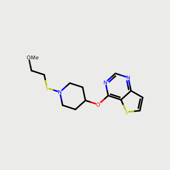 COCCSN1CCC(Oc2ncnc3ccsc23)CC1